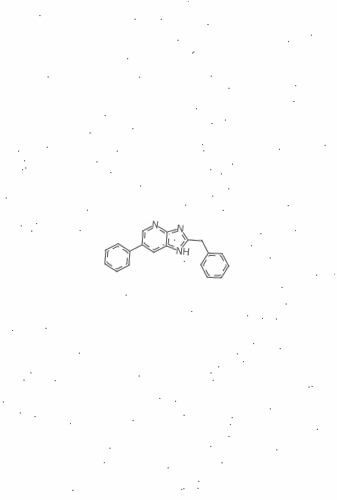 c1ccc(Cc2nc3ncc(-c4ccccc4)cc3[nH]2)cc1